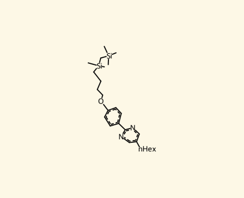 CCCCCCc1cnc(-c2ccc(OCCCC[Si](C)(C)C[Si](C)(C)C)cc2)nc1